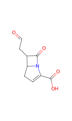 O=CCC1C(=O)N2C(C(=O)O)=CCC12